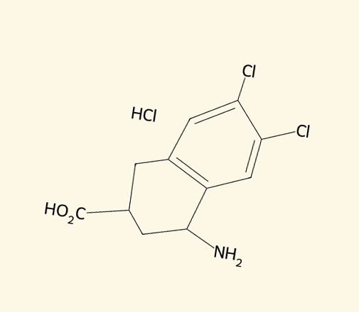 Cl.NC1CC(C(=O)O)Cc2cc(Cl)c(Cl)cc21